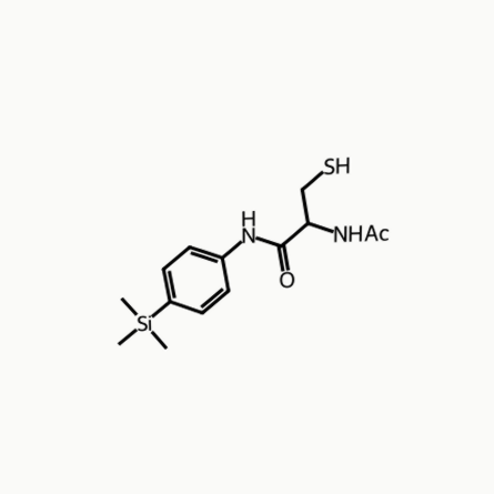 CC(=O)NC(CS)C(=O)Nc1ccc([Si](C)(C)C)cc1